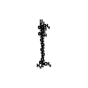 CC(C)C(=O)COCCOCCOCCOCCOCCNC(=O)C(F)CNC(=O)C(C)C